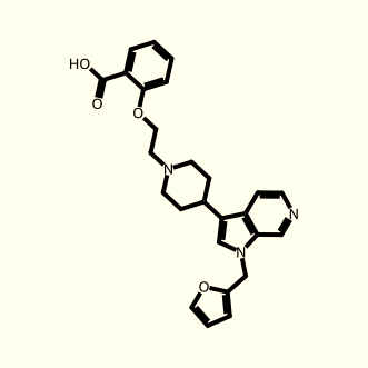 O=C(O)c1ccccc1OCCN1CCC(c2cn(Cc3ccco3)c3cnccc23)CC1